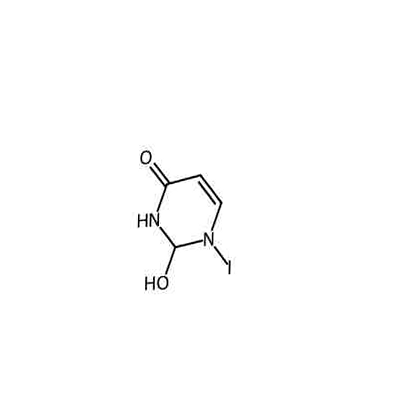 O=C1C=CN(I)C(O)N1